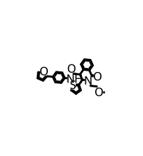 COCCN1C(=O)c2ccccc2C(C(=O)Nc2ccc(-c3ccco3)cc2)C1c1cccs1